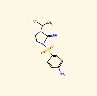 CC(C)N1CCN(S(=O)(=O)c2ccc(N)cc2)C1=N